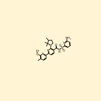 CCOc1nc(-c2ccc(C(=O)NS(=O)(=O)c3cccc(N)n3)c(N3CCC(C)C3(C)C)n2)ccc1C